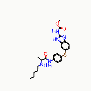 CCCCCNC(C)C(=O)Nc1ccc(Sc2ccc3nc(NC(=O)OC)[nH]c3c2)cc1